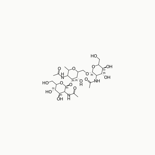 CC(=O)NC1[C@H](OCC2OC(C)C(NC(C)=O)[C@@H](O[C@@H]3OC(CO)[C@@H](O)[C@H](O)C3NC(C)=O)[C@H]2O)OC(CO)[C@@H](O)[C@@H]1O